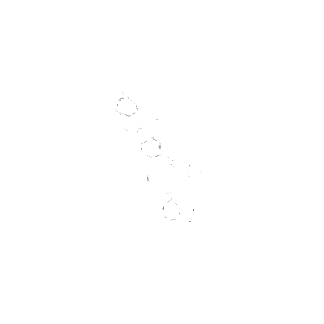 O=COc1cc(S(=O)(=O)Nc2ccncn2)c(F)cc1N[C@H]1CC[C@H](c2cccc(C(F)(F)F)c2)C[C@@H]1N1CCCC1